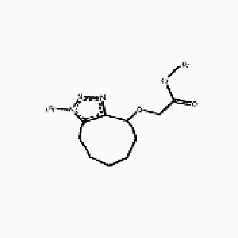 CC(C)OC(=O)COC1CCCCCc2c1nnn2C(C)C